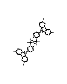 Cc1ccc2c(c1)c1cc(C)ccc1n2-c1ccc2c(c1)C(C)(C)C1(O2)Oc2ccc(-n3c4ccc(C)cc4c4cc(C)ccc43)cc2C1(C)C